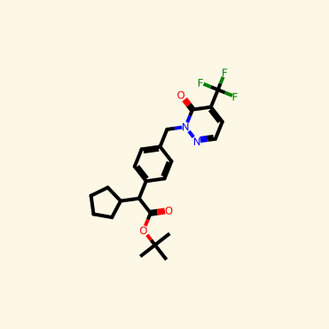 CC(C)(C)OC(=O)C(c1ccc(Cn2nccc(C(F)(F)F)c2=O)cc1)C1CCCC1